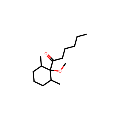 CCCCCC(=O)C1(OC)C(C)CCCC1C